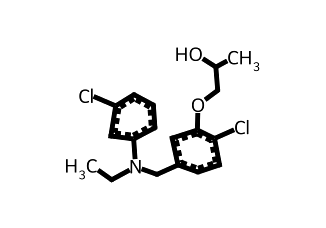 CCN(Cc1ccc(Cl)c(OCC(C)O)c1)c1cccc(Cl)c1